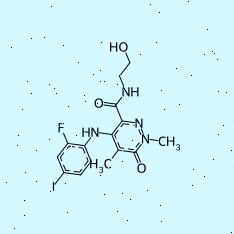 Cc1c(Nc2ccc(I)cc2F)c(C(=O)NCCO)nn(C)c1=O